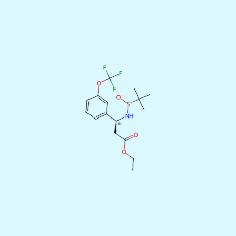 CCOC(=O)C[C@H](N[S+]([O-])C(C)(C)C)c1cccc(OC(F)(F)F)c1